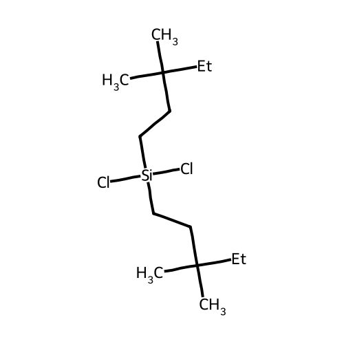 CCC(C)(C)CC[Si](Cl)(Cl)CCC(C)(C)CC